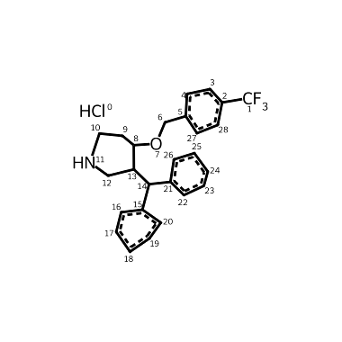 Cl.FC(F)(F)c1ccc(COC2CCNCC2C(c2ccccc2)c2ccccc2)cc1